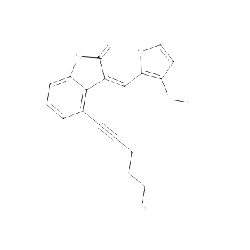 COc1cc[nH]c1C=C1C(=O)Nc2cccc(C#CCCCO)c21